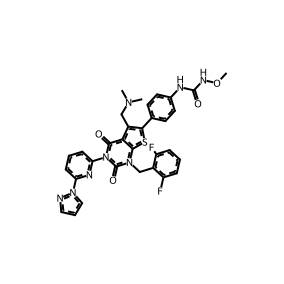 CONC(=O)Nc1ccc(-c2sc3c(c2CN(C)C)c(=O)n(-c2cccc(-n4cccn4)n2)c(=O)n3Cc2c(F)cccc2F)cc1